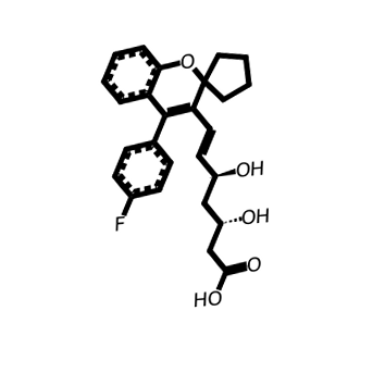 O=C(O)C[C@@H](O)C[C@H](O)C=CC1=C(c2ccc(F)cc2)c2ccccc2OC12CCCC2